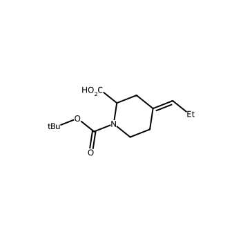 CCC=C1CCN(C(=O)OC(C)(C)C)C(C(=O)O)C1